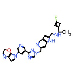 CC(NCc1cc2cnc(Cn3cnc(-c4cncc(-n5ccc6c5OCC=N6)c4)n3)cc2[nH]1)C12CC(F)(C1)C2